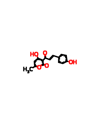 Cc1cc(O)c(C(=O)C=Cc2ccc(O)cc2)c(=O)o1